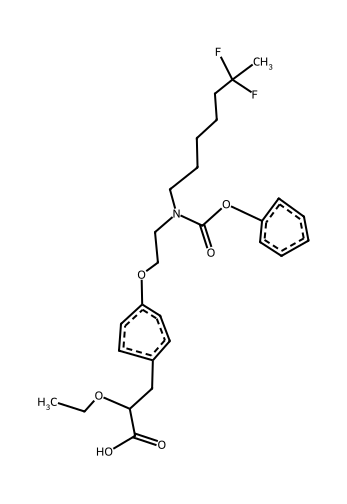 CCOC(Cc1ccc(OCCN(CCCCCC(C)(F)F)C(=O)Oc2ccccc2)cc1)C(=O)O